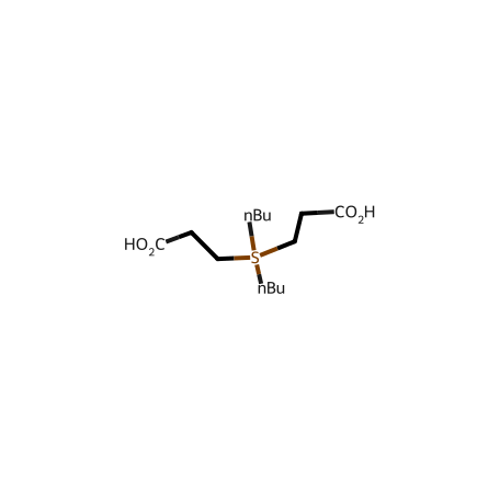 CCCCS(CCCC)(CCC(=O)O)CCC(=O)O